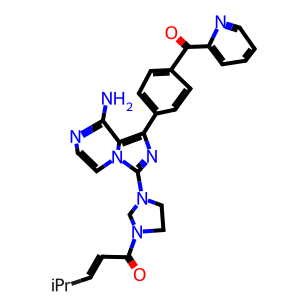 CC(C)/C=C/C(=O)N1CCN(c2nc(-c3ccc(C(=O)c4ccccn4)cc3)c3c(N)nccn23)C1